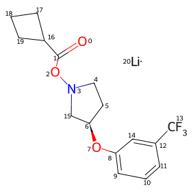 O=C(ON1CC[C@@H](Oc2cccc(C(F)(F)F)c2)C1)C1CCC1.[Li]